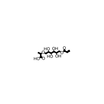 C=CC(=O)OC[C@@H](O)[C@@H](O)[C@H](O)[C@@H](O)COC(C)C(=O)O